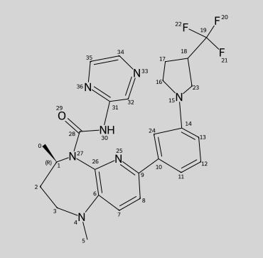 C[C@@H]1CCN(C)c2ccc(-c3cccc(N4CCC(C(F)(F)F)C4)c3)nc2N1C(=O)Nc1cnccn1